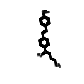 COc1ccc(N=Nc2ccc(N(C)CCCN)cc2)cc1